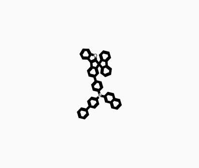 c1ccc(-c2ccc(N(c3ccc(-c4ccc5c(c4)C4(c6ccccc6-c6ccccc64)c4oc6ccccc6c4-5)cc3)c3ccc4ccccc4c3)cc2)cc1